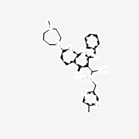 Cc1cnc(CNC(O)c2c(=O)c3ccc(N4CCCN(C)CC4)nc3n3c2sc2ccccc23)cn1